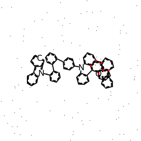 c1cc(-c2cccc3c2oc2ccccc23)cc(N(c2ccc(-c3ccccc3-c3ccccc3-n3c4ccccc4c4ccccc43)cc2)c2ccccc2-c2cccc3ccccc23)c1